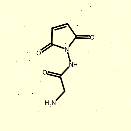 NCC(=O)NN1C(=O)C=CC1=O